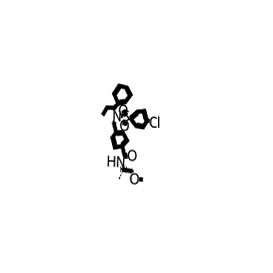 CCC(c1ccccc1)N(Cc1ccc(C(=O)N[C@@H](C)COC)cc1)S(=O)(=O)c1ccc(Cl)cc1